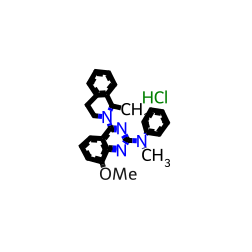 COc1cccc2c(N3CCc4ccccc4C3C)nc(N(C)c3ccccc3)nc12.Cl